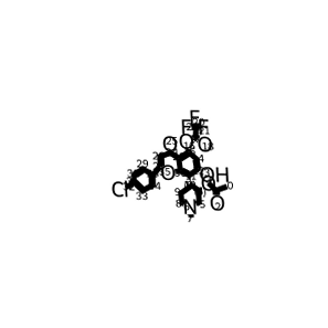 CC(=O)O[C@@H]1CN(C)CC[C@@H]1c1c(O)cc(OC(=O)C(F)(F)F)c2c(=O)cc(-c3ccc(Cl)cc3)oc12